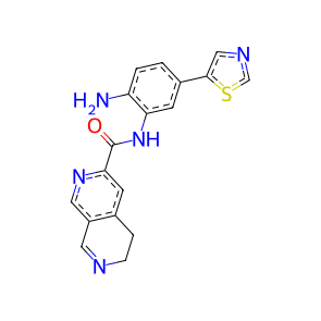 Nc1ccc(-c2cncs2)cc1NC(=O)c1cc2c(cn1)C=NCC2